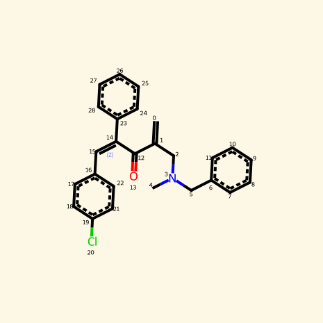 C=C(CN(C)Cc1ccccc1)C(=O)/C(=C\c1ccc(Cl)cc1)c1ccccc1